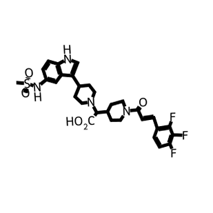 CS(=O)(=O)Nc1ccc2[nH]cc(C3CCN(C(C(=O)O)C4CCN(C(=O)C=Cc5ccc(F)c(F)c5F)CC4)CC3)c2c1